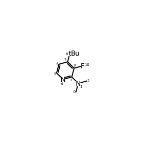 CN(C)c1nccc(C(C)(C)C)c1F